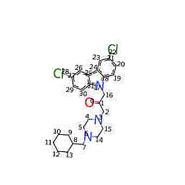 O=C(CN1CCN(CC2CCCCC2)CC1)Cn1c2ccc(Cl)cc2c2cc(Cl)ccc21